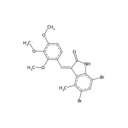 COc1ccc(C=C2C(=O)Nc3c(Br)cc(Br)c(C)c32)c(OC)c1OC